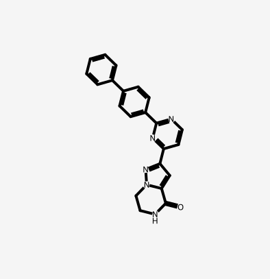 O=C1NCCn2nc(-c3ccnc(-c4ccc(-c5ccccc5)cc4)n3)cc21